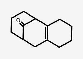 O=C1C2CCCC1C1=C(CCCC1)C2